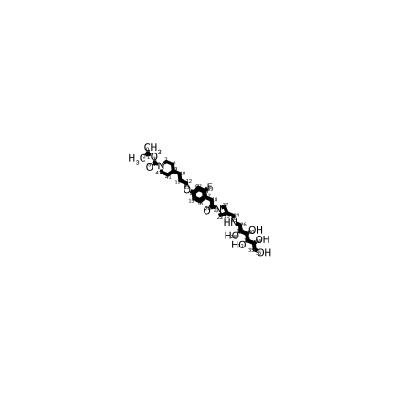 CC(C)OC(=O)N1CCC(CCCOc2ccc(CC(=O)N3CC(CNC[C@H](O)[C@@H](O)[C@H](O)C(O)CO)C3)c(F)c2)CC1